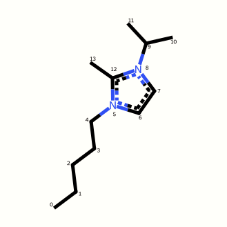 CCCCC[n+]1ccn(C(C)C)c1C